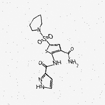 NC(=O)c1cc(S(=O)(=O)N2CCCCC2)sc1NC(=O)c1cc[nH]n1